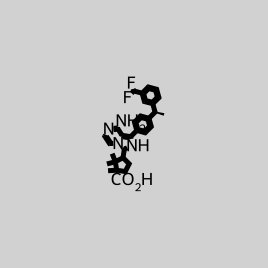 C[C@@H](c1ccc(C2=C3C(N)=NC=CN3C(C3CC[C@](C)(C(=O)O)C3(C)C)N2)cc1)c1cccc(C(F)F)c1